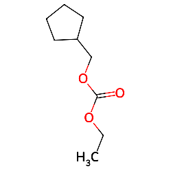 CCOC(=O)OCC1CCCC1